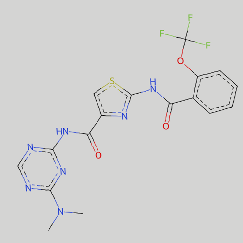 CN(C)c1ncnc(NC(=O)c2csc(NC(=O)c3ccccc3OC(F)(F)F)n2)n1